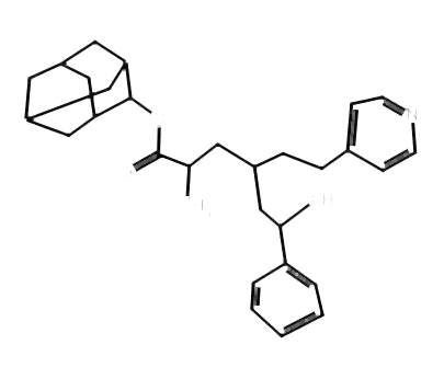 CC(CC(CCc1ccncc1)CC(C)c1ccccc1)C(=O)OC1C2CC3CC(C2)CC1C3